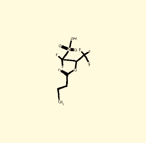 CCCC(=O)OC(C(F)(F)F)C(F)(F)S(=O)(=O)O